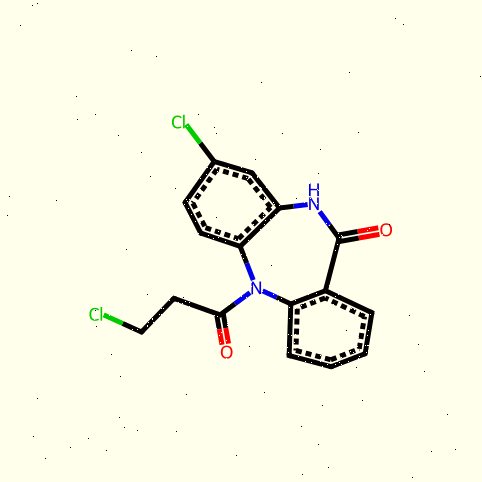 O=C1Nc2cc(Cl)ccc2N(C(=O)CCCl)c2ccccc21